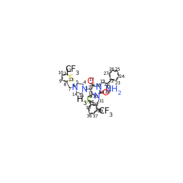 Cc1c(N2CCN(Cc3ccc(C(F)(F)F)s3)CC2)c(=O)n(CC(N)c2ccccc2)c(=O)n1Cc1c(F)cccc1C(F)(F)F